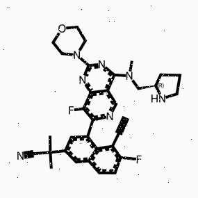 C#Cc1c(F)ccc2cc(C(C)(C)C#N)cc(-c3ncc4c(N(C)C[C@H]5CCCN5)nc(N5CCOCC5)nc4c3F)c12